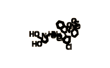 CS(=O)(=O)N[C@H]1CCCC[C@@H]1N1C(=O)c2ccccc2[C@@H](C(=O)NOCc2ccc(O)c(CO)n2)[C@@H]1c1ccc(Cl)cc1Cl